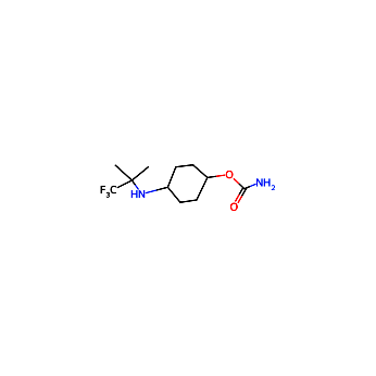 CC(C)(NC1CCC(OC(N)=O)CC1)C(F)(F)F